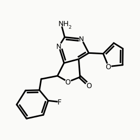 Nc1nc(-c2ccco2)c2c(n1)C(Cc1ccccc1F)OC2=O